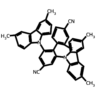 Cc1ccc2c(c1)c1cc(C)ccc1n2-c1cc(C#N)cc(-n2c3ccc(C)cc3c3cc(C)ccc32)c1-c1ccc(C#N)cc1F